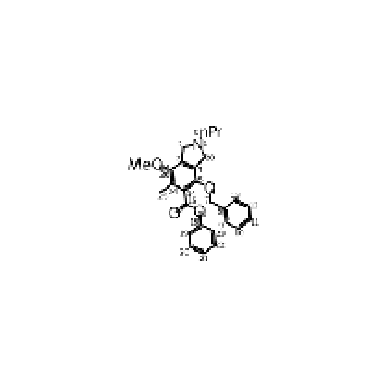 CCCN1Cc2c(c(OCc3ccccc3)c(C(=O)Oc3ccccc3)c(C)c2OC)C1